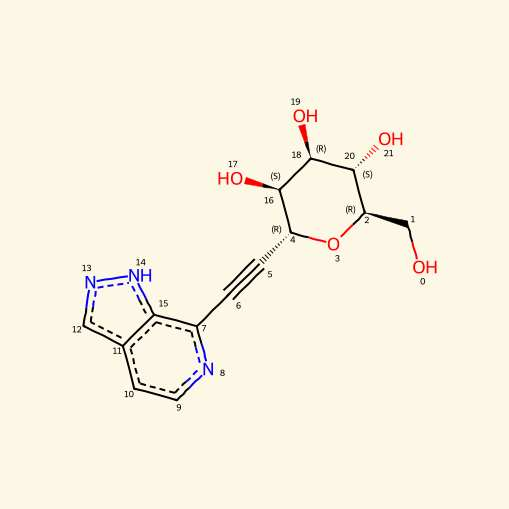 OC[C@H]1O[C@H](C#Cc2nccc3cn[nH]c23)[C@@H](O)[C@@H](O)[C@@H]1O